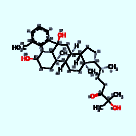 C[C@H](CCC(=O)C(C)(C)O)[C@H]1CC[C@H]2[C@@H]3CC(O)(c4cccc(C(=O)O)c4)C4CC(O)CC[C@]4(C)[C@H]3CC[C@]12C